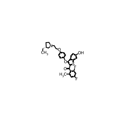 CC[C@@H]1CCN(CCOc2ccc(Oc3c(C(=O)c4c(C)cc(F)cc4F)sc4cc(O)ccc34)cc2)C1